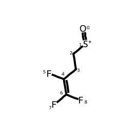 O=[S+]CCC(F)=C(F)F